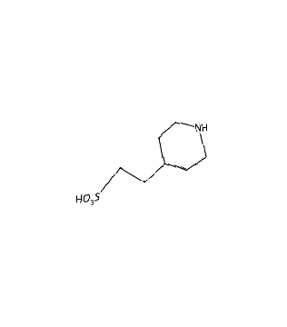 O=S(=O)(O)CCC1CCNCC1